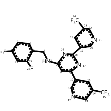 Fc1ccc(CNc2cc(-c3cncc(C(F)(F)F)c3)nc(-c3cncc(C(F)(F)F)c3)n2)c(F)c1